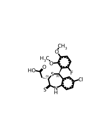 COc1ccc(F)c([C@@H]2S[C@@H](CC(=O)O)C(=S)Nc3ccc(Cl)cc32)c1OC